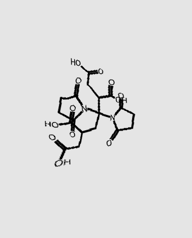 O=C(O)CC(CC(C(CC(=O)O)C(=O)O)(N1C(=O)CCC1=O)N1C(=O)CCC1=O)C(=O)O